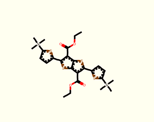 CCOC(=O)c1c(-c2ccc([Si](C)(C)C)s2)sc2c(C(=O)OCC)c(-c3ccc([Si](C)(C)C)s3)sc12